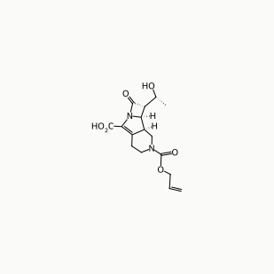 C=CCOC(=O)N1CCC2=C(C(=O)O)N3C(=O)[C@H]([C@@H](C)O)[C@H]3[C@H]2C1